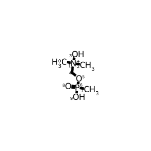 C[N+](C)(O)COP(C)(=O)O